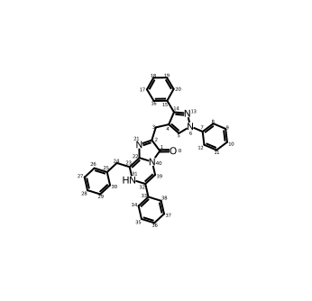 O=c1c(Cc2cn(-c3ccccc3)nc2-c2ccccc2)nc2c(Cc3ccccc3)[nH]c(-c3ccccc3)cn1-2